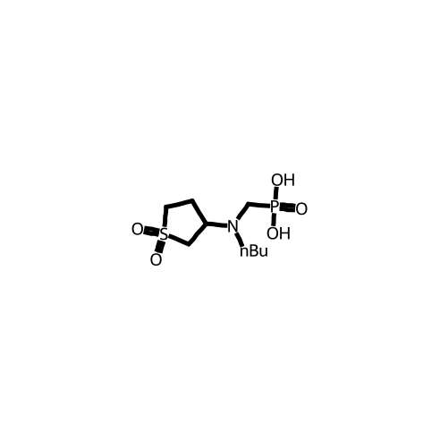 CCCCN(CP(=O)(O)O)C1CCS(=O)(=O)C1